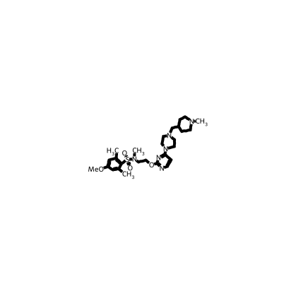 COc1cc(C)c(S(=O)(=O)N(C)CCOc2nccc(N3CCN(CC4CCN(C)CC4)CC3)n2)c(C)c1